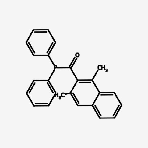 Cc1cc2ccccc2c(C)c1C(=O)P(c1ccccc1)c1ccccc1